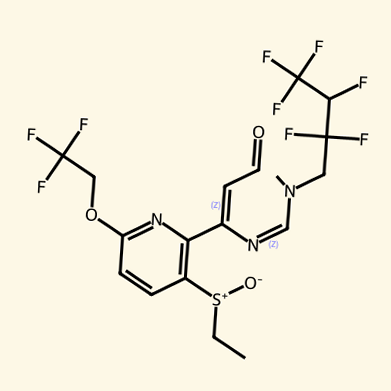 CC[S+]([O-])c1ccc(OCC(F)(F)F)nc1C(=C/C=O)/N=C\N(C)CC(F)(F)C(F)C(F)(F)F